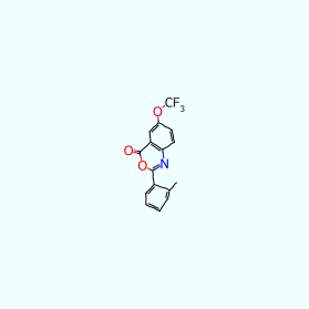 Cc1ccccc1-c1nc2ccc(OC(F)(F)F)cc2c(=O)o1